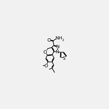 COc1cc2c(cc1C=C(C)C)-c1c(c(C(N)=O)nn1-c1ccsc1)CO2